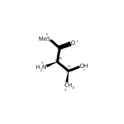 CSC(=O)[C@H](N)[C@H](C)O